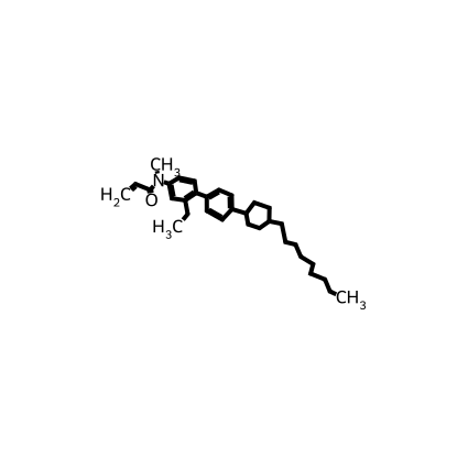 C=CC(=O)N(C)c1ccc(-c2ccc(C3CCC(CCCCCCCCC)CC3)cc2)c(CC)c1